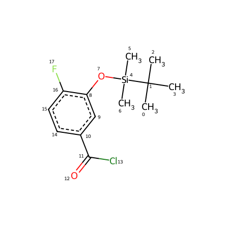 CC(C)(C)[Si](C)(C)Oc1cc(C(=O)Cl)ccc1F